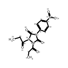 CCC(=O)n1c(=O)n(-c2ccc([N+](=O)[O-])cc2)c(=O)n1C(=O)CC